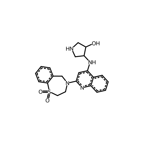 O=S1(=O)CCN(c2cc(NC3CNCC3O)c3ccccc3n2)Cc2ccccc21